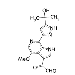 COc1cnc(-c2cc(C(C)(C)O)[nH]n2)c2[nH]cc(C(=O)C=O)c12